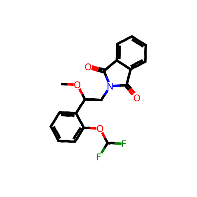 COC(CN1C(=O)c2ccccc2C1=O)c1ccccc1OC(F)F